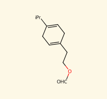 CC(C)C1=CCC(CCOC=O)=CC1